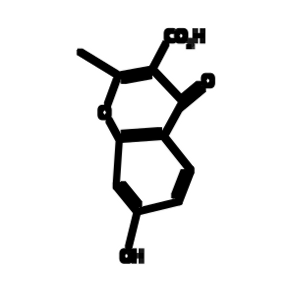 Cc1oc2cc(O)ccc2c(=O)c1C(=O)O